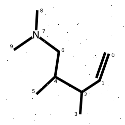 C=CC(C)C(C)CN(C)C